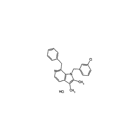 Cc1c(C)n(Cc2cccc(Cl)c2)c2c(Cc3ccccc3)nccc12.Cl